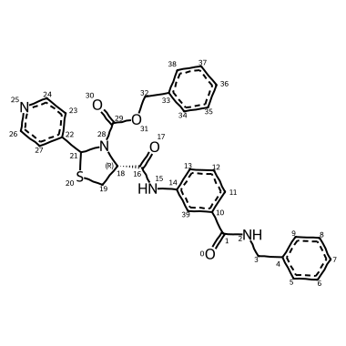 O=C(NCc1ccccc1)c1cccc(NC(=O)[C@@H]2CSC(c3ccncc3)N2C(=O)OCc2ccccc2)c1